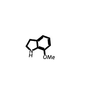 COc1cccc2c1NCC2